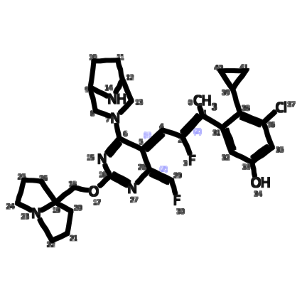 C\C(=C(F)/C=c1/c(N2CC3CCC(C2)N3)nc(OCC23CCCN2CCC3)n/c1=C\F)c1cc(O)cc(Cl)c1C1CC1